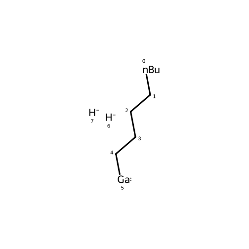 CCCCCCC[CH2][Ga].[H-].[H-]